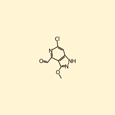 COc1n[nH]c2cc(Cl)nc(C=O)c12